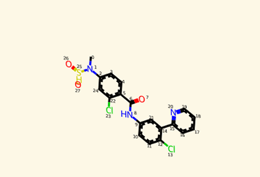 CN(c1ccc(C(=O)Nc2ccc(Cl)c(-c3ccccn3)c2)c(Cl)c1)[SH](=O)=O